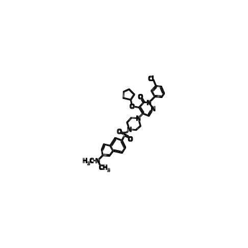 CN(C)c1ccc2cc(S(=O)(=O)N3CCN(c4cnn(-c5cccc(Cl)c5)c(=O)c4OC4CCCC4)CC3)ccc2c1